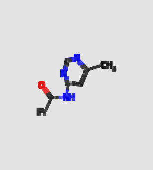 Cc1cc(NC(=O)C(C)C)ncn1